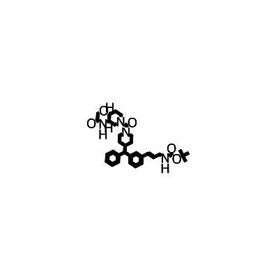 CC(C)(C)OC(=O)NC/C=C/c1cccc(C(c2ccccc2)C2CCN(C(=O)N3CC[C@@H]4OCC(=O)N[C@@H]4C3)CC2)c1